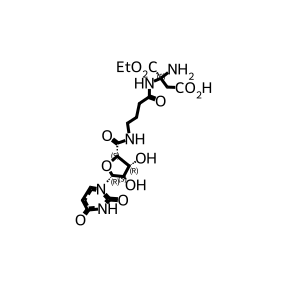 CCOC(=O)[C@](N)(CC(=O)O)NC(=O)CCCNC(=O)[C@H]1O[C@@H](n2ccc(=O)[nH]c2=O)[C@@H](O)[C@H]1O